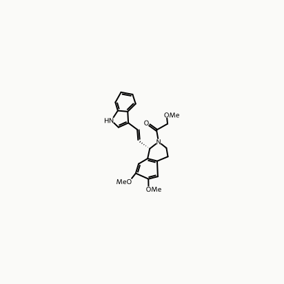 COCC(=O)N1CCc2cc(OC)c(OC)cc2[C@@H]1/C=C/c1c[nH]c2ccccc12